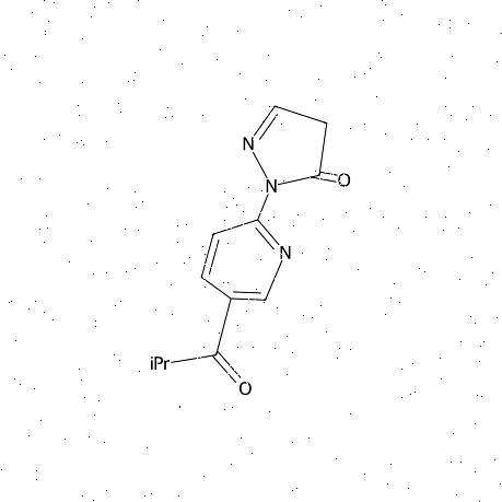 CC(C)C(=O)c1ccc(N2N=CCC2=O)nc1